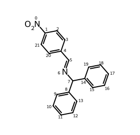 O=[N+]([O-])c1ccc(C=NC(c2ccccc2)c2ccccc2)cc1